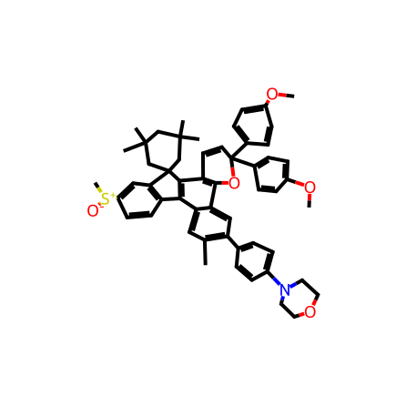 COc1ccc(C2(c3ccc(OC)cc3)C=Cc3c4c(c5cc(C)c(-c6ccc(N7CCOCC7)cc6)cc5c3O2)-c2ccc([S+](C)[O-])cc2C42CC(C)(C)CC(C)(C)C2)cc1